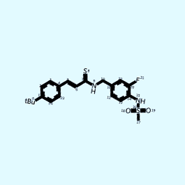 CC(C)(C)c1ccc(C=CC(=S)NCc2ccc(NS(C)(=O)=O)c(F)c2)cc1